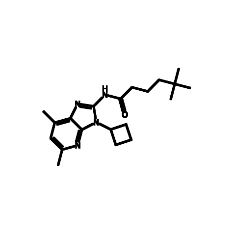 Cc1cc(C)c2nc(NC(=O)CCCC(C)(C)C)n(C3CCC3)c2n1